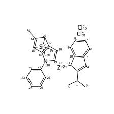 CC(C)C1=Cc2ccccc2[CH]1[Zr+2].CC1=C2c3c(ccn3-c3ccccc3)C1[Si]2(C)C.[Cl-].[Cl-]